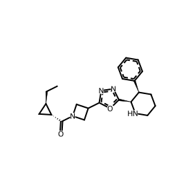 CC[C@@H]1C[C@H]1C(=O)N1CC(c2nnc([C@@H]3NCCC[C@@H]3c3ccccc3)o2)C1